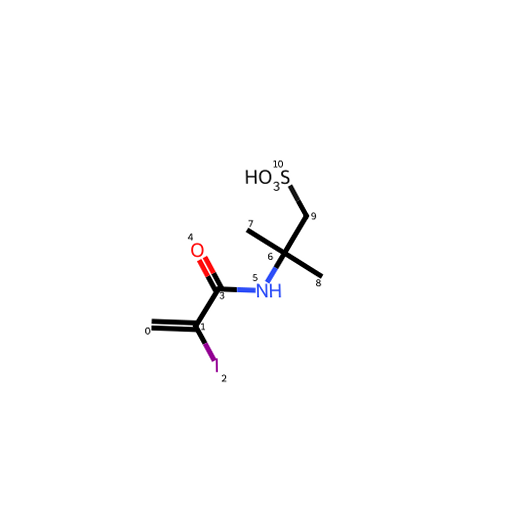 C=C(I)C(=O)NC(C)(C)CS(=O)(=O)O